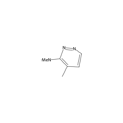 C[N]c1nnccc1C